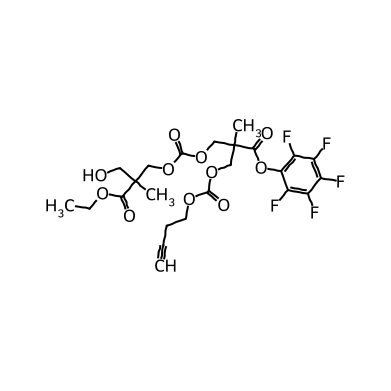 C#CCCOC(=O)OCC(C)(COC(=O)OCC(C)(CO)C(=O)OCC)C(=O)Oc1c(F)c(F)c(F)c(F)c1F